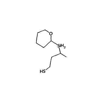 CC(CCS)[SiH2]C1CCCCO1